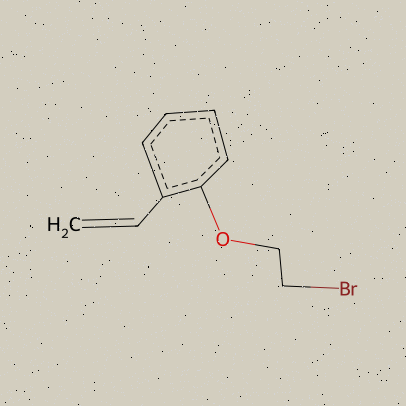 C=Cc1ccccc1OCCBr